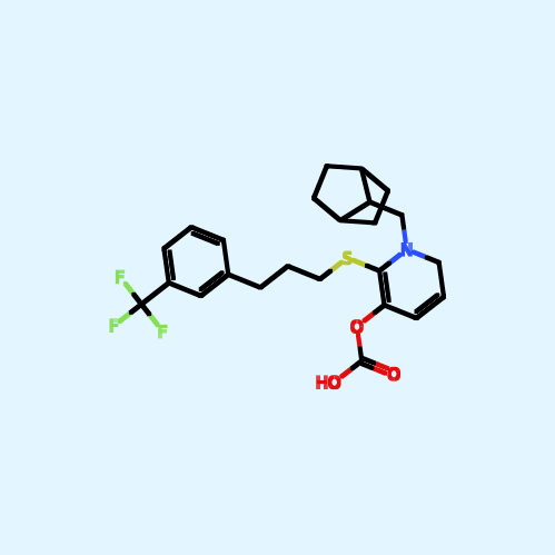 O=C(O)OC1=C(SCCCc2cccc(C(F)(F)F)c2)N(CC2C3CCC2CC3)CC=C1